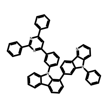 c1ccc(-c2cc(-c3cccc(-n4c5ccccc5c5cccc(-c6ccc7c8ncccc8n(-c8ccccc8)c7c6)c54)c3)nc(-c3ccccc3)n2)cc1